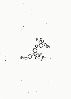 CCOC(=O)c1c(Br)c2cc(Oc3ccc(OC(C)C)c(OC(F)(F)F)c3)ccc2n1-c1ccc(OC(C)C)cc1